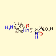 NC1CC[C@@H]2CC(C(=O)NCC[C@@H]3C[C@@H](CC(=O)O)C(=O)N3)CC[C@H]2C1